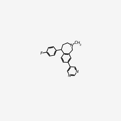 CN1CCC(c2ccc(F)cc2)c2ccc(-c3cncnc3)cc2C1